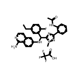 CCc1ccc(F)c(C(Nc2ccc3c(N)nccc3c2)c2nc(-c3ccccc3NC(C)=O)nn2C)c1.O=C(O)C(F)(F)F